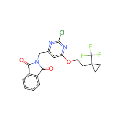 O=C1c2ccccc2C(=O)N1Cc1cc(OCCC2(C(F)(F)F)CC2)nc(Cl)n1